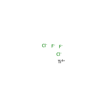 [Cl-].[Cl-].[F-].[F-].[Ti+4]